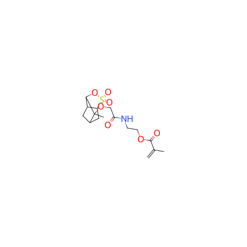 C=C(C)C(=O)OCCNC(=O)COC1(C)C2CC3C1OS(=O)(=O)C3C2